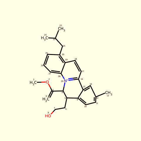 C=C(OC)C1C(CCO)c2ccc(C)cc2-c2ccc3c(CC(C)C)cccc3[n+]21